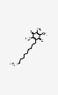 CC1=C(C)C(=O)C(CCCCCCCCCC(=O)O)=C(C)C1=O